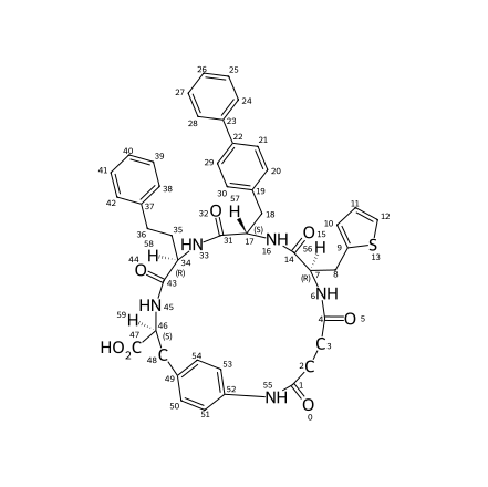 O=C1CCC(=O)N[C@H](Cc2cccs2)C(=O)N[C@@H](Cc2ccc(-c3ccccc3)cc2)C(=O)N[C@H](CCc2ccccc2)C(=O)N[C@H](C(=O)O)Cc2ccc(cc2)N1